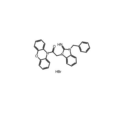 Br.N=c1n(CC(=O)N2c3ccccc3Oc3ccccc32)c2ccccc2n1Cc1ccccc1